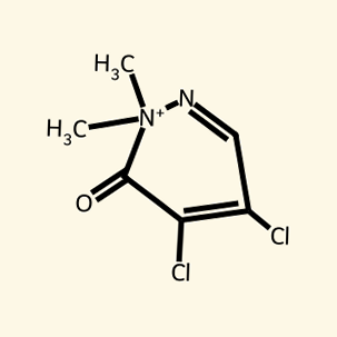 C[N+]1(C)N=CC(Cl)=C(Cl)C1=O